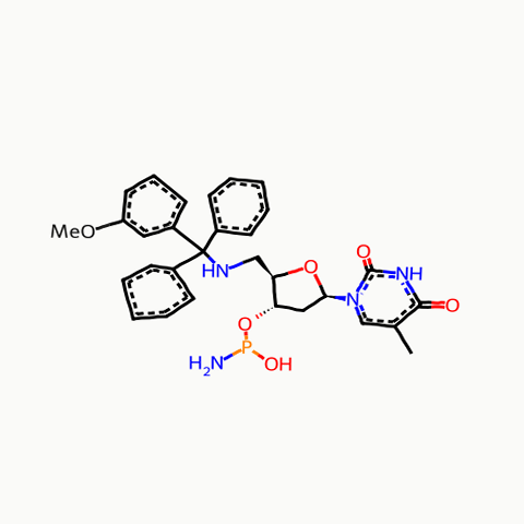 COc1cccc(C(NC[C@H]2O[C@@H](n3cc(C)c(=O)[nH]c3=O)C[C@@H]2OP(N)O)(c2ccccc2)c2ccccc2)c1